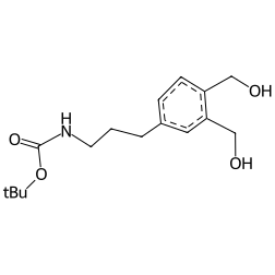 CC(C)(C)OC(=O)NCCCc1ccc(CO)c(CO)c1